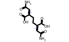 NC(=O)/C=C(/CC/C(=C/C(N)=O)C(=O)O)C(=O)O